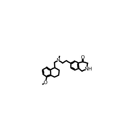 COc1cccc2c1CCCC2CN(C)CCc1ccc2c(c1)C(=O)CNC2